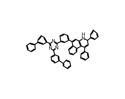 C1=C(c2ccccc2)c2c(cc(-c3cccc(-c4nc(-c5cccc(-c6ccccc6)c5)nc(-c5cccc(-c6ccccc6)c5)n4)c3)c3ccccc23)NC1c1ccccc1